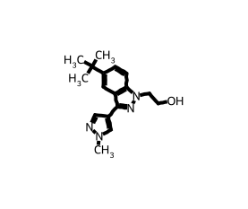 Cn1cc(-c2nn(CCO)c3ccc(C(C)(C)C)cc23)cn1